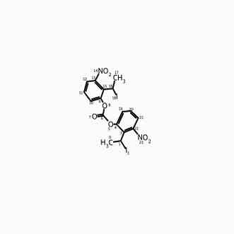 CC(I)c1c(OC(=O)Oc2cccc([N+](=O)[O-])c2C(C)I)cccc1[N+](=O)[O-]